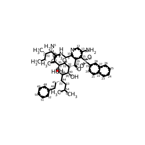 CC[C@H](C)[C@H](N)C(=O)NCc1ncc(N)c(S(=O)(=O)c2ccc3ccccc3c2)c1C(=O)[C@@H](C(=O)[C@@H](N)C(C)C)[C@@H](O)[C@H](O)[C@@H](CCc1ccccc1)CC(C)C